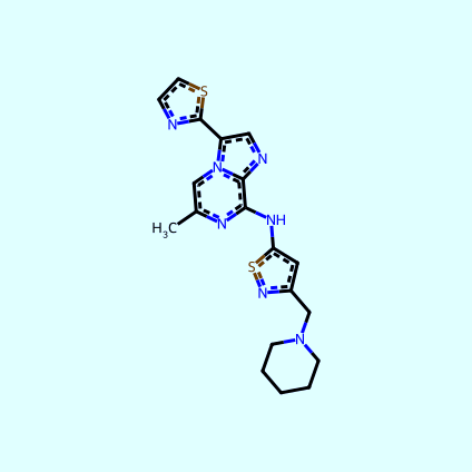 Cc1cn2c(-c3nccs3)cnc2c(Nc2cc(CN3CCCCC3)ns2)n1